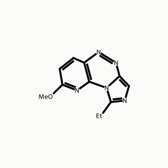 CCc1ncc2nnc3ccc(OC)nc3n12